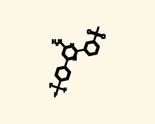 CS(=O)(=O)c1cccc(-c2nc(N)cc(-c3ccc(C(F)(F)F)cc3)n2)c1